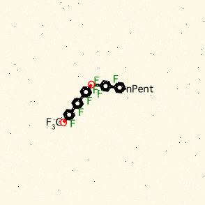 CCCCCc1ccc(-c2ccc(C(F)(F)Oc3ccc(-c4ccc(-c5ccc(OC(F)(F)F)c(F)c5)c(F)c4)c(F)c3)c(F)c2)c(F)c1